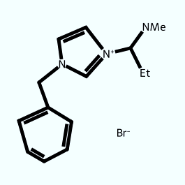 CCC(NC)[n+]1ccn(Cc2ccccc2)c1.[Br-]